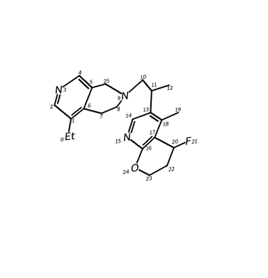 CCc1cncc2c1CCN(CC(C)c1cnc3c(c1C)C(F)CCO3)C2